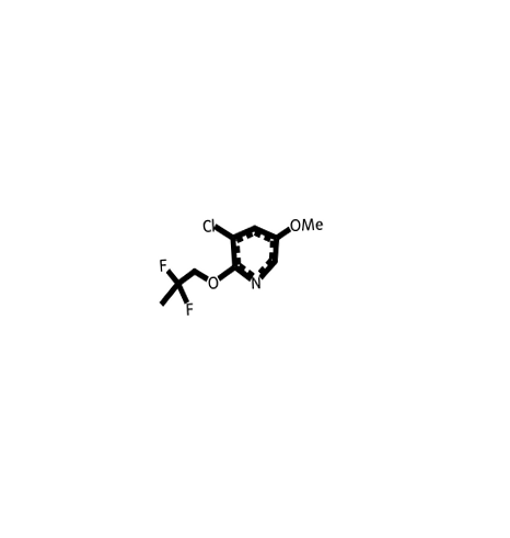 COc1cnc(OCC(C)(F)F)c(Cl)c1